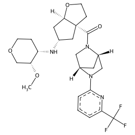 CO[C@@H]1COCC[C@@H]1N[C@@H]1C[C@H]2OCC[C@@]2(C(=O)N2C[C@@H]3C[C@H]2CN3c2cccc(C(F)(F)F)n2)C1